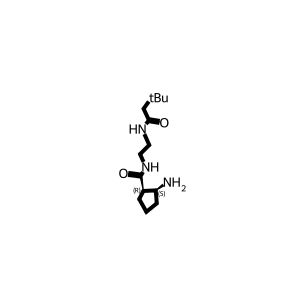 CC(C)(C)CC(=O)NCCNC(=O)[C@@H]1CCC[C@@H]1N